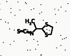 CC(N=C=S)C1SCCS1